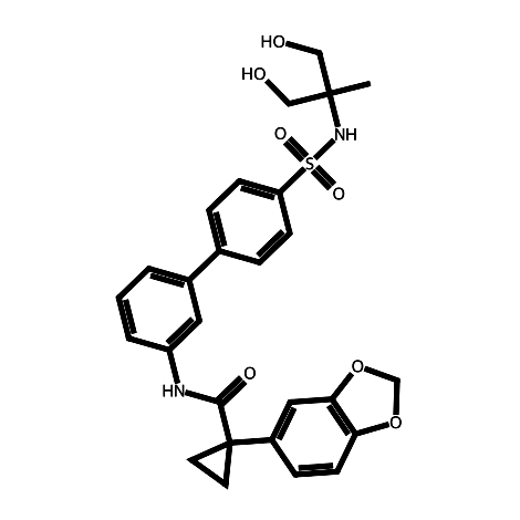 CC(CO)(CO)NS(=O)(=O)c1ccc(-c2cccc(NC(=O)C3(c4ccc5c(c4)OCO5)CC3)c2)cc1